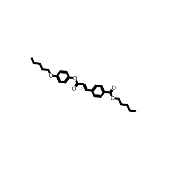 [CH2]CCCCOC(=O)c1ccc(/C=C/C(=O)Oc2ccc(OCCCCC)cc2)cc1